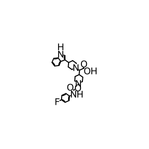 O=C(Nc1ccc(F)cc1)ON1CCC(C(C(=O)O)N2CCC(c3c[nH]c4ccccc34)CC2)CC1